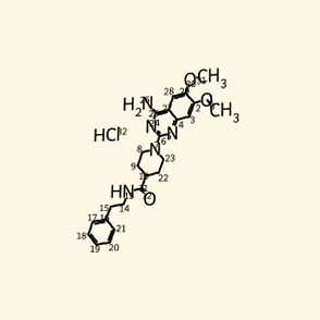 COc1cc2nc(N3CCC(C(=O)NCCc4ccccc4)CC3)nc(N)c2cc1OC.Cl